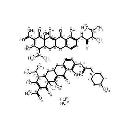 CC(C(=O)Nc1ccc2c(c1O)C(=O)C1=C(O)C3(O)C(=O)C(C(N)=O)=C(O)C(N(C)C)C3CC1C2)N(C)C.CC1CCN(CC(=O)Nc2ccc3c(c2O)C(=O)C2=C(O)C4(O)C(=O)C(C(N)=O)=C(O)[C@@H](N(C)C)C4CC2C3)CC1.Cl.Cl